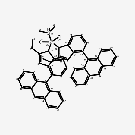 CCC1=Cc2c(-c3c4ccccc4cc4ccccc34)cccc2[CH]1[Zr]([Cl])([Cl])([CH]1C(CC)=Cc2c(-c3c4ccccc4cc4ccccc34)cccc21)[SiH](C)C